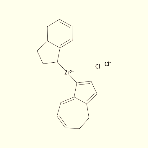 C1=CCCC2=CC=[C]([Zr+2][CH]3CCC4CC=CC=C43)C2=C1.[Cl-].[Cl-]